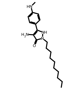 CCCCCCCCCCn1[nH]c(-c2ccc(NC)cc2)c(N)c1=O